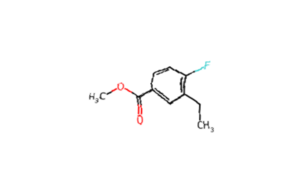 CCc1cc(C(=O)OC)ccc1F